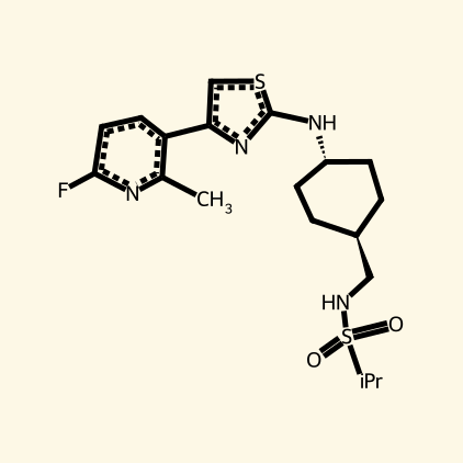 Cc1nc(F)ccc1-c1csc(N[C@H]2CC[C@H](CNS(=O)(=O)C(C)C)CC2)n1